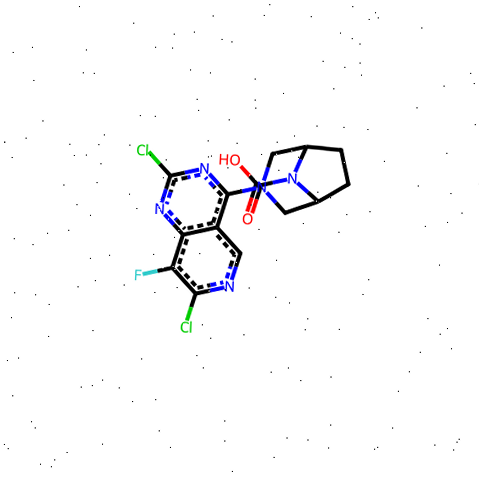 O=C(O)N1C2CCC1CN(c1nc(Cl)nc3c(F)c(Cl)ncc13)C2